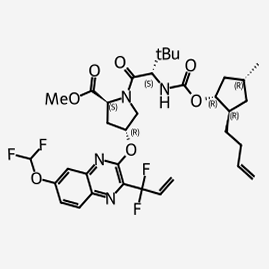 C=CCC[C@@H]1C[C@@H](C)C[C@H]1OC(=O)N[C@H](C(=O)N1C[C@H](Oc2nc3cc(OC(F)F)ccc3nc2C(F)(F)C=C)C[C@H]1C(=O)OC)C(C)(C)C